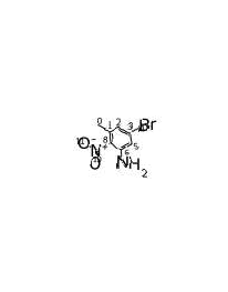 Cc1cc(Br)cc(N)c1[N+](=O)[O-]